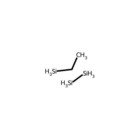 CC[SiH3].[SiH3][SiH3]